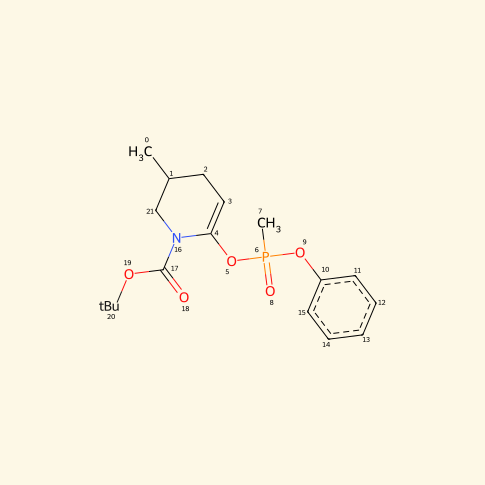 CC1CC=C(OP(C)(=O)Oc2ccccc2)N(C(=O)OC(C)(C)C)C1